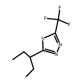 CCC(CC)c1nnc(C(F)(F)F)s1